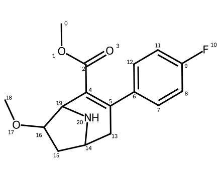 COC(=O)C1=C(c2ccc(F)cc2)CC2CC(OC)C1N2